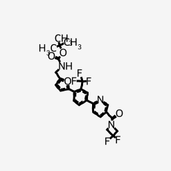 CC(C)(C)OC(=O)NCc1ccc(-c2ccc(-c3ccc(C(=O)N4CC(F)(F)C4)cn3)cc2C(F)(F)F)o1